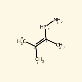 CC(C)=C(C)PN